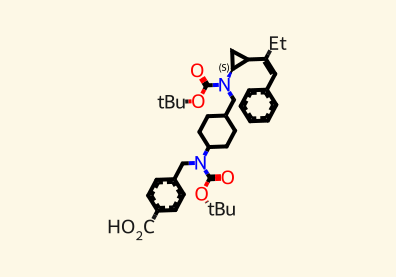 CCC(=Cc1ccccc1)C1C[C@@H]1N(CC1CCC(N(Cc2ccc(C(=O)O)cc2)C(=O)OC(C)(C)C)CC1)C(=O)OC(C)(C)C